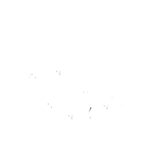 [2H]C([2H])(NC(=O)[C@H]1CCCN1c1nc2c(=O)[nH]c(-c3ccccc3)nc2s1)c1ccccc1